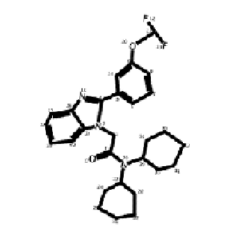 O=C(Cn1c(-c2cccc(OC(F)F)c2)nc2ccccc21)N(C1CCCCC1)C1CCCCC1